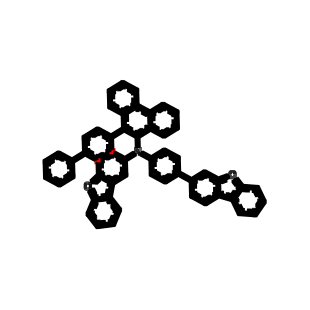 c1ccc(-c2ccc(-c3c(N(c4ccc(-c5ccc6c(c5)oc5ccccc56)cc4)c4ccc5oc6ccccc6c5c4)c4ccccc4c4ccccc34)cc2)cc1